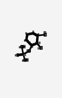 OP(O)(=S)Oc1cccc(Cl)c1Cl